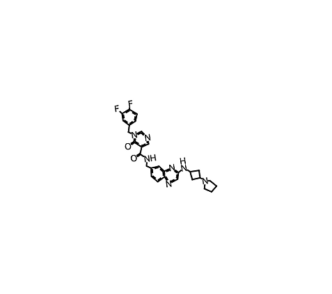 O=C(NCc1ccc2ncc(NC3CC(N4CCCC4)C3)nc2c1)c1cncn(Cc2ccc(F)c(F)c2)c1=O